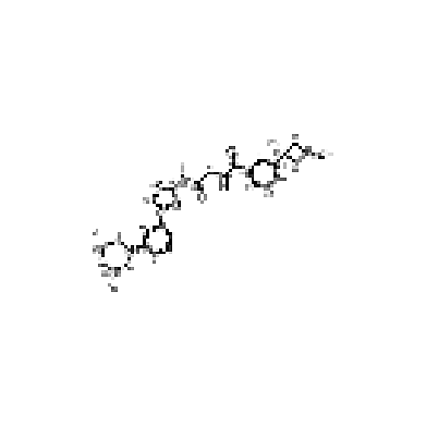 C[C@@H]1CN(c2cccc(-c3csc(NC(=O)CNC(=O)c4cccc([C@]5(C)C[C@H](O)C5)c4)n3)c2)C[C@H](C)O1